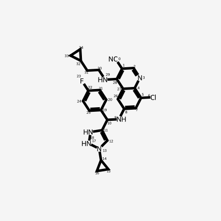 N#Cc1cnc2c(Cl)cc(NC(C3=CN(C4CC4)NN3)c3ccc(F)cc3)cc2c1NCCC1CC1